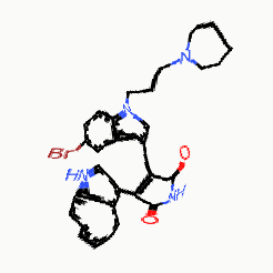 O=C1NC(=O)C(c2cn(CCCN3CCCCC3)c3ccc(Br)cc23)=C1c1c[nH]c2ccccc12